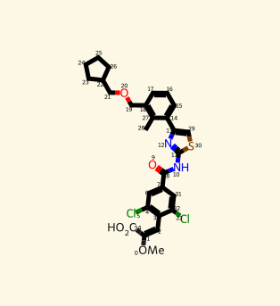 CO/C(=C/c1c(Cl)cc(C(=O)Nc2nc(-c3cccc(COCC4CCCC4)c3C)cs2)cc1Cl)C(=O)O